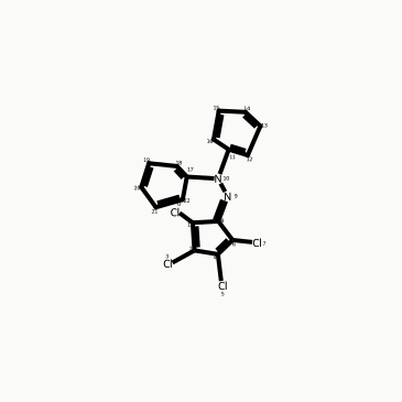 ClC1=C(Cl)C(Cl)=C(Cl)C1=NN(c1ccccc1)c1ccccc1